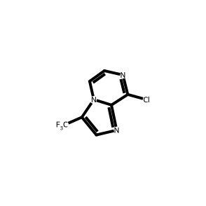 FC(F)(F)c1cnc2c(Cl)nccn12